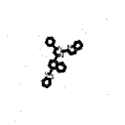 c1ccc(-c2cc(-c3ccc(-c4nc5ccccc5s4)c4ccccc34)nc(-c3ccc4ccccc4n3)n2)cc1